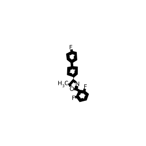 C[C@H]1OC(c2c(F)cccc2F)=N[C@H]1c1ccc(-c2ccc(F)cc2)cc1